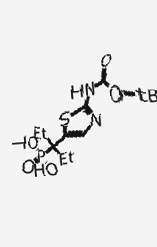 CCC(CC)(c1cnc(NC(=O)OC(C)(C)C)s1)P(=O)(O)O